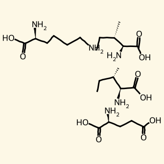 CC[C@H](C)[C@H](N)C(=O)O.CC[C@H](C)[C@H](N)C(=O)O.NCCCC[C@H](N)C(=O)O.N[C@@H](CCC(=O)O)C(=O)O